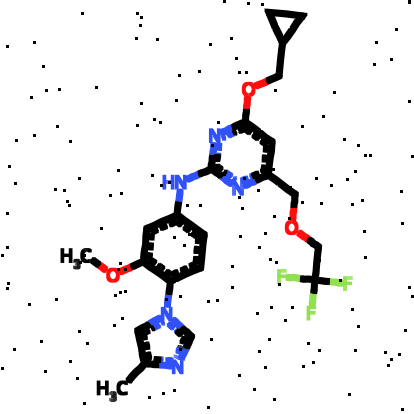 COc1cc(Nc2nc(COCC(F)(F)F)cc(OCC3CC3)n2)ccc1-n1cnc(C)c1